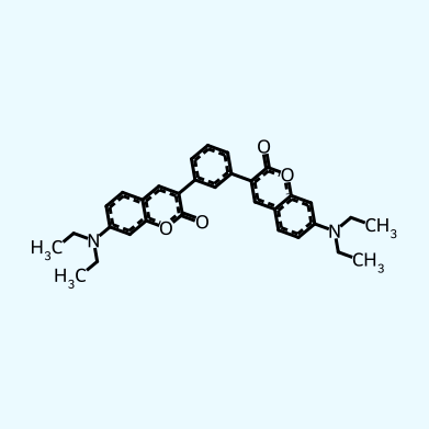 CCN(CC)c1ccc2cc(-c3cccc(-c4cc5ccc(N(CC)CC)cc5oc4=O)c3)c(=O)oc2c1